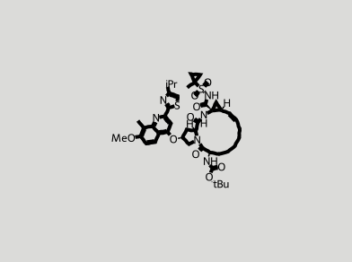 COc1ccc2c(O[C@@H]3C[C@H]4C(=O)N[C@]5(C(=O)NS(=O)(=O)C6(C)CC6)C[C@H]5/C=C\CCCCC[C@H](NC(=O)OC(C)(C)C)C(=O)N4C3)cc(-c3nc(C(C)C)cs3)nc2c1C